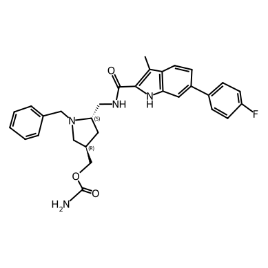 Cc1c(C(=O)NC[C@@H]2C[C@@H](COC(N)=O)CN2Cc2ccccc2)[nH]c2cc(-c3ccc(F)cc3)ccc12